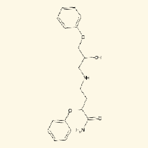 NC(=O)C(CCNCC(O)COc1ccccc1)Oc1ccccc1